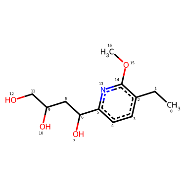 CCc1ccc(C(O)CC(O)CO)nc1OC